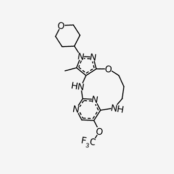 Cc1c2c(nn1C1CCOCC1)OCCCNc1nc(ncc1OC(F)(F)F)N2